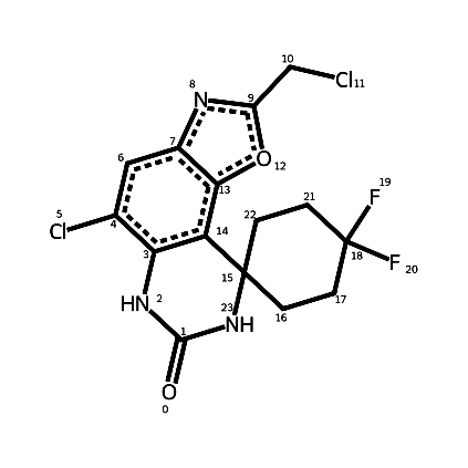 O=C1Nc2c(Cl)cc3nc(CCl)oc3c2C2(CCC(F)(F)CC2)N1